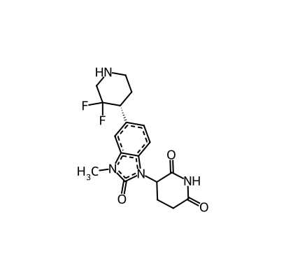 Cn1c(=O)n(C2CCC(=O)NC2=O)c2ccc([C@H]3CCNCC3(F)F)cc21